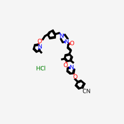 Cc1cccc(OCCc2ccc(CN3CCN(C(=O)C=Cc4cc(C)c(Oc5ccc(OCc6ccc(C#N)cc6)cn5)c(C)c4)CC3)cc2)n1.Cl